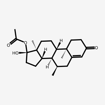 CC(=O)O[C@@]1(O)CC[C@H]2[C@@H]3[C@H](C)CC4=CC(=O)CC[C@]4(C)[C@H]3CC[C@@]21C